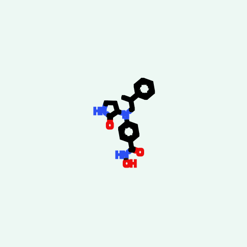 CC(CN(c1ccc(C(=O)NO)cc1)C1CCNC1=O)c1ccccc1